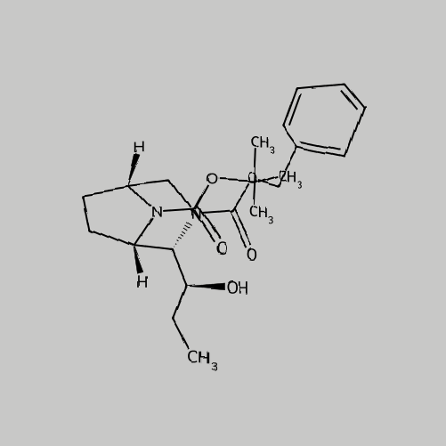 CC[C@H](O)[C@@H]1[C@@H]2CC[C@H](CN1C(=O)OCc1ccccc1)N2C(=O)OC(C)(C)C